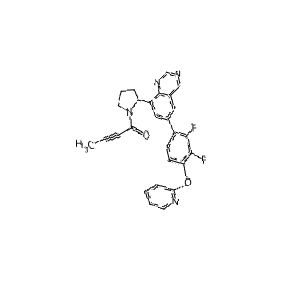 CC#CC(=O)N1CCCC1c1cc(-c2ccc(Oc3ccccn3)c(F)c2F)cc2cncnc12